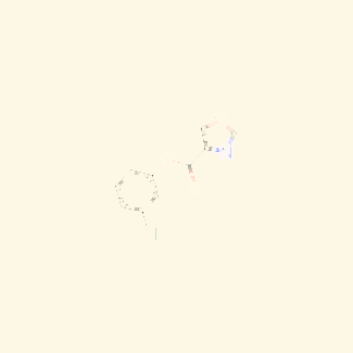 O=C(Oc1cccc(Cl)c1)c1cocn1